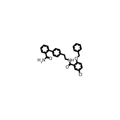 NC(=O)c1ccccc1-c1ccc(CCNC(=O)c2cc(Cl)ccc2OCc2ccccc2)cc1